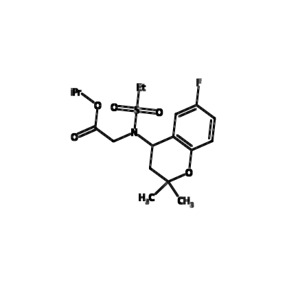 CCS(=O)(=O)N(CC(=O)OC(C)C)C1CC(C)(C)Oc2ccc(F)cc21